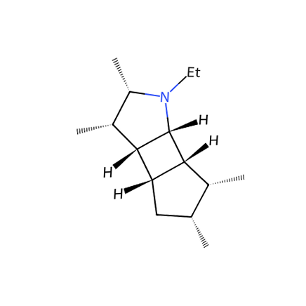 CCN1[C@@H]2[C@@H]3[C@H](C)[C@H](C)C[C@@H]3[C@@H]2[C@H](C)[C@@H]1C